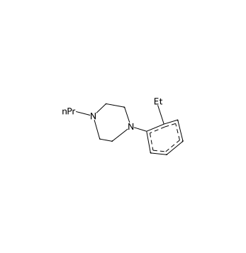 C[CH]CN1CCN(c2ccccc2CC)CC1